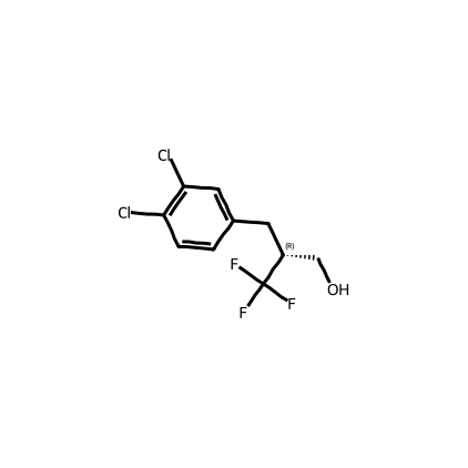 OC[C@@H](Cc1ccc(Cl)c(Cl)c1)C(F)(F)F